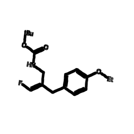 CCOc1ccc(C/C(=C/F)CNC(=O)OC(C)(C)C)cc1